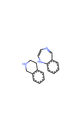 C1=CNc2ccccc2C=N1.c1ccc2c(c1)CCNC2